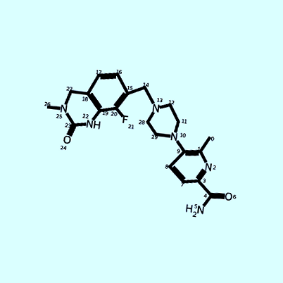 Cc1nc(C(N)=O)ccc1N1CCN(Cc2ccc3c(c2F)NC(=O)N(C)C3)CC1